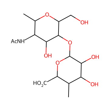 CC(=O)NC1C(C)OC(CO)C(OC2OC(C(=O)O)C(C)C(O)C2O)C1O